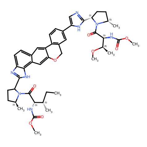 CC[C@H](C)[C@H](NC(=O)OC)C(=O)N1C(c2nc3ccc4cc5c(cc4c3[nH]2)OCc2cc(-c3cnc([C@@H]4CC[C@H](C)N4C(=O)[C@@H](NC(=O)OC)[C@@H](C)OC)[nH]3)ccc2-5)CC[C@@H]1C